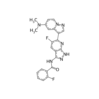 CN(C)c1ccn2ncc(-c3nc4[nH]nc(NC(=O)c5ccccc5F)c4cc3F)c2c1